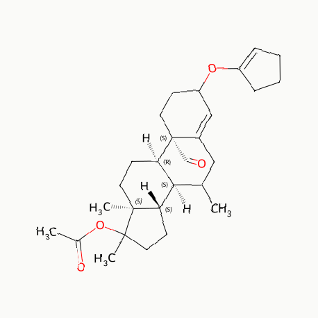 CC(=O)OC1(C)CC[C@H]2[C@@H]3C(C)CC4=CC(OC5=CCCC5)CC[C@]4(C=O)[C@@H]3CC[C@@]21C